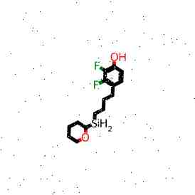 Oc1ccc(CCCC[SiH2]C2CCCCO2)c(F)c1F